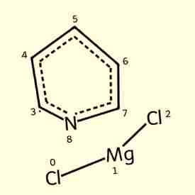 [Cl][Mg][Cl].[c]1ccccn1